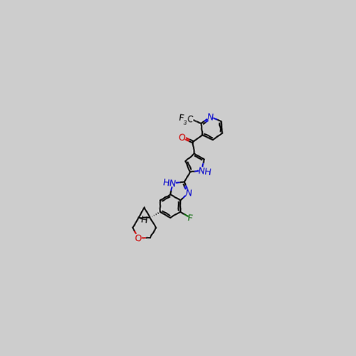 O=C(c1c[nH]c(-c2nc3c(F)cc([C@]45CCOC[C@H]4C5)cc3[nH]2)c1)c1cccnc1C(F)(F)F